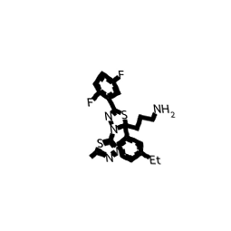 CCc1cccc(C2(CCCN)SC(c3cc(F)ccc3F)=NN2c2nnc(C)s2)c1